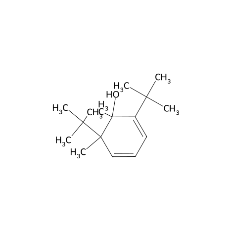 CC(C)(C)C1=CC=CC(C)(C(C)(C)C)C1(C)O